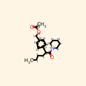 CCCCC(C(=O)N1CCCCC1)c1ccc(COC(C)=O)cc1